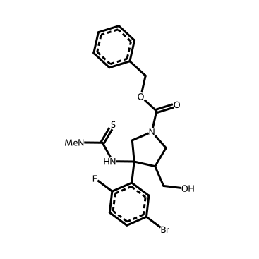 CNC(=S)NC1(c2cc(Br)ccc2F)CN(C(=O)OCc2ccccc2)CC1CO